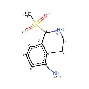 CS(=O)(=O)C1NCCc2c(N)cccc21